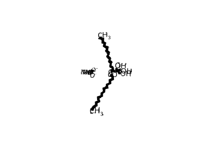 CCCCCCCCCCCCCCCC(=O)OC(C(=O)CCCCCCCCCCCCCCC)C(CO)(CO)CO.[Na+].[Na+].[Na+].[O-]P([O-])[O-]